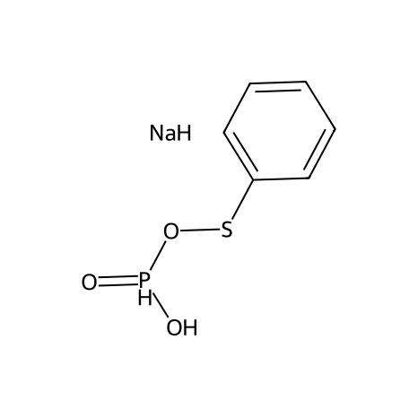 O=[PH](O)OSc1ccccc1.[NaH]